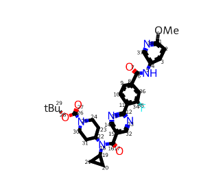 COc1ccc(NC(=O)c2ccc(-c3ncc(C(=O)N(C4CC4)C4CCN(C(=O)OC(C)(C)C)CC4)cn3)c(F)c2)cn1